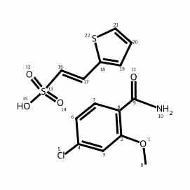 COc1cc(Cl)ccc1C(N)=O.O=S(=O)(O)/C=C/c1cccs1